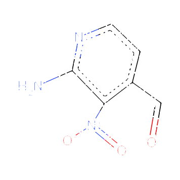 Nc1nccc(C=O)c1[N+](=O)[O-]